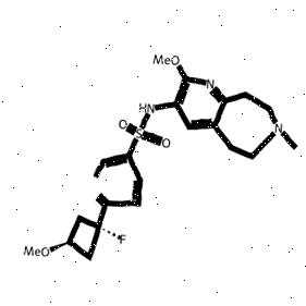 C=C(/C=C\C(=C/C)S(=O)(=O)Nc1cc2c(nc1OC)CCN(C)CC2)[C@]1(F)C[C@H](OC)C1